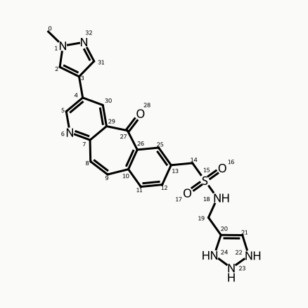 Cn1cc(-c2cnc3ccc4ccc(CS(=O)(=O)NCC5=CNNN5)cc4c(=O)c3c2)cn1